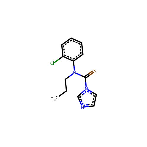 CCCN(C(=S)n1ccnc1)c1ccccc1Cl